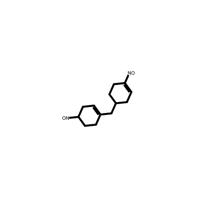 O=NC1=CCC(CC2=CCC(N=O)CC2)CC1